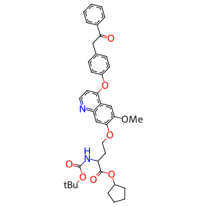 COc1cc2c(Oc3ccc(CC(=O)c4ccccc4)cc3)ccnc2cc1OCCC(NC(=O)OC(C)(C)C)C(=O)OC1CCCC1